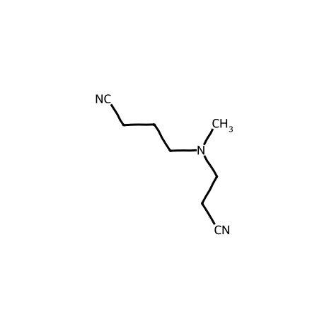 CN(CCC#N)CCCC#N